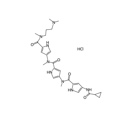 CN(C)CCCN(C)C(=O)c1cc(N(C)C(=O)c2cc(N(C)C(=O)c3cc(NC(=O)C4CC4)c[nH]3)c[nH]2)c[nH]1.Cl